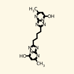 Cc1cc(O)n2nc(CCCCc3nc4nc(C)cc(O)n4n3)nc2n1